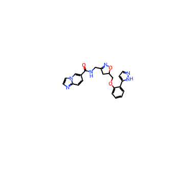 O=C(NCC1=NOC(COc2ccccc2-c2ccn[nH]2)C1)c1ccc2nccn2c1